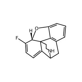 FC1=CC=C2C3Cc4cccc5c4C2(CCN3)[C@H]1O5